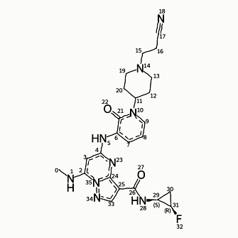 CNc1cc(Nc2cccn(C3CCN(CCC#N)CC3)c2=O)nc2c(C(=O)N[C@H]3C[C@H]3F)cnn12